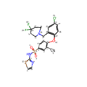 N#Cc1cc(S(=O)(=O)Nc2nccs2)ccc1Oc1ccc(Cl)cc1CN1CCC(F)(F)CC1